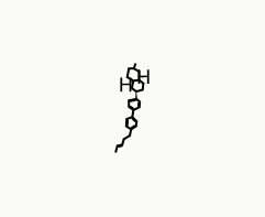 C/C=C/CCc1ccc(-c2ccc([C@@H]3CC[C@@H]4CC(C)CC[C@@H]4C3)cc2)cc1